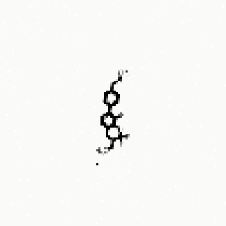 CCCc1ccc(-c2ccc3c(c2F)OC(F)(F)C(CC)C3)cc1